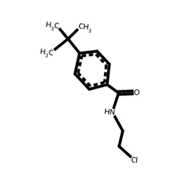 CC(C)(C)c1ccc(C(=O)NCCCl)cc1